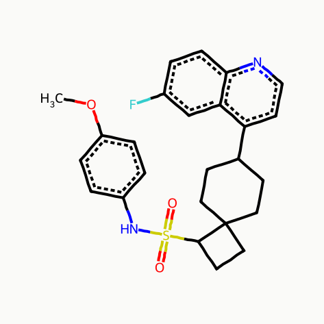 COc1ccc(NS(=O)(=O)C2CCC23CCC(c2ccnc4ccc(F)cc24)CC3)cc1